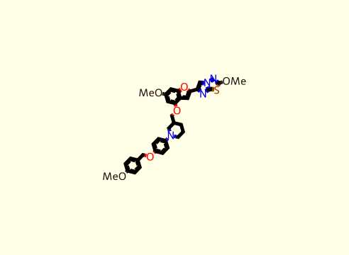 COc1ccc(COc2ccc(N3CCCC(COc4cc(OC)cc5oc(-c6cn7nc(OC)sc7n6)cc45)C3)cc2)cc1